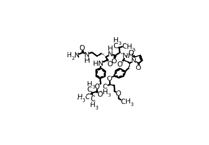 CCOCCC(C)Oc1ccc(C[C@@H](C(=O)N[C@H](C(=O)N[C@@H](CCCNC(N)=O)C(=O)Nc2ccc(COC(=O)C(C)(C)C)cc2)C(C)C)N2C(=O)C=CC2=O)cc1